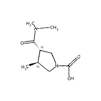 C[C@@H]1CN(C(=O)O)C[C@H]1C(=O)N(C)C